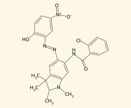 CC1N(C)c2cc(NC(=O)c3ccccc3Cl)c(N=Nc3cc([N+](=O)[O-])ccc3O)cc2C1(C)C